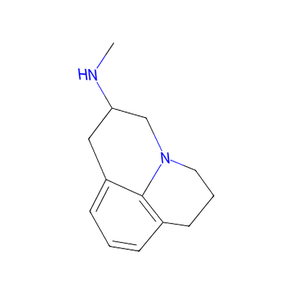 CNC1Cc2cccc3c2N(CCC3)C1